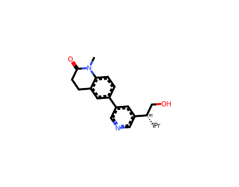 CC(C)[C@@H](CO)c1cncc(-c2ccc3c(c2)CCC(=O)N3C)c1